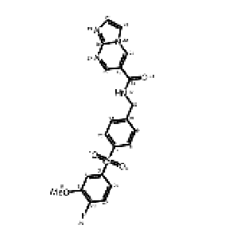 COc1cc(S(=O)(=O)c2ccc(CNC(=O)c3cnc4nccn4c3)cc2)ccc1F